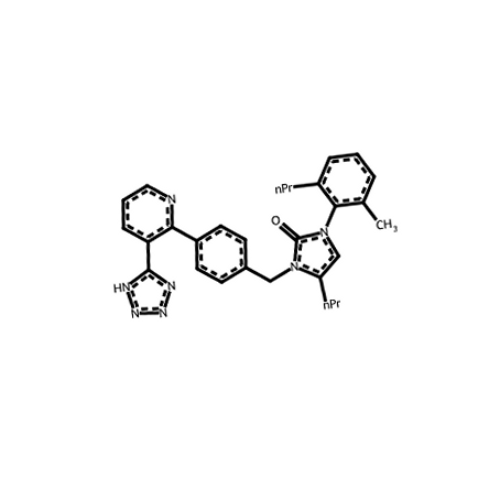 CCCc1cccc(C)c1-n1cc(CCC)n(Cc2ccc(-c3ncccc3-c3nnn[nH]3)cc2)c1=O